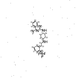 CN(C)c1nc(N[C@H]2CC[C@@H](NCCc3ccccc3OC(F)(F)F)CC2)nc2ccccc12